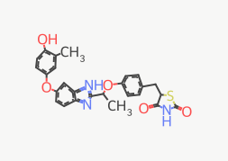 Cc1cc(Oc2ccc3nc(C(C)Oc4ccc(CC5SC(=O)NC5=O)cc4)[nH]c3c2)ccc1O